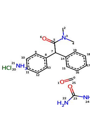 C=O.CN(C)C(=O)C(c1ccccc1)c1ccccc1.Cl.N.NC(N)=O